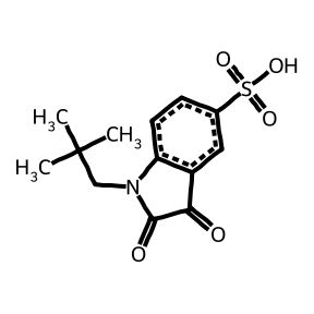 CC(C)(C)CN1C(=O)C(=O)c2cc(S(=O)(=O)O)ccc21